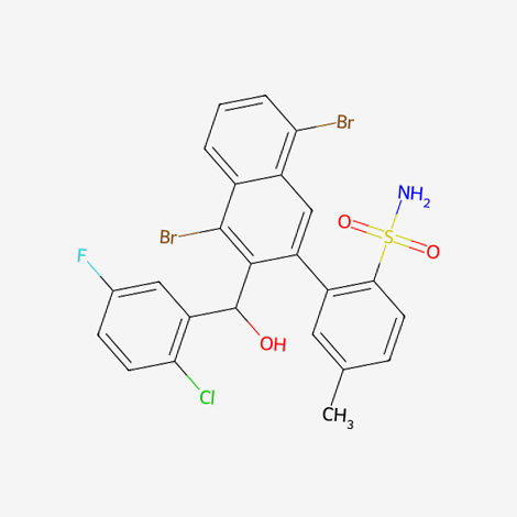 Cc1ccc(S(N)(=O)=O)c(-c2cc3c(Br)cccc3c(Br)c2C(O)c2cc(F)ccc2Cl)c1